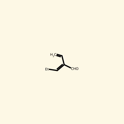 C=CC(C=O)=CCC